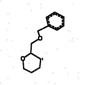 [C]1CCCOC1COCc1ccccc1